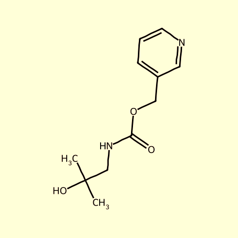 CC(C)(O)CNC(=O)OCc1cccnc1